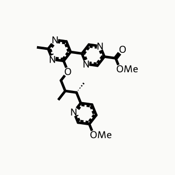 COC(=O)c1cnc(-c2cnc(C)nc2OCC(C)[C@H](C)c2ccc(OC)cn2)cn1